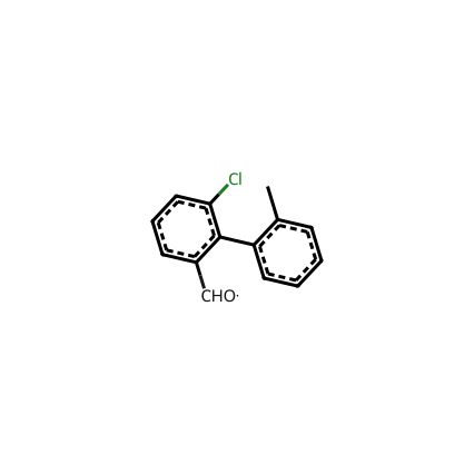 Cc1ccccc1-c1c(Cl)cccc1[C]=O